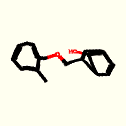 Cc1ccccc1OCC1CC2C=CC1C2O